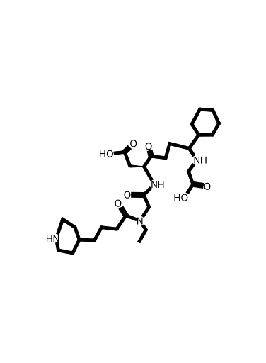 CCN(CC(=O)N[C@@H](CC(=O)O)C(=O)CCC(NCC(=O)O)C1CCCCC1)C(=O)CCCC1CCNCC1